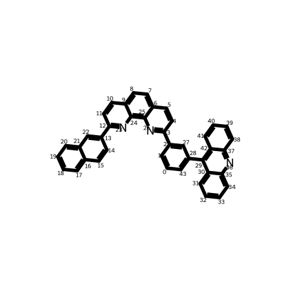 c1cc(-c2ccc3ccc4ccc(-c5ccc6ccccc6c5)nc4c3n2)cc(-c2c3ccccc3nc3ccccc23)c1